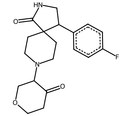 O=C1CCOCC1N1CCC2(CC1)C(=O)NCC2c1ccc(F)cc1